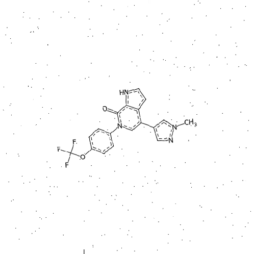 Cn1cc(-c2cn(-c3ccc(OC(F)(F)F)cc3)c(=O)c3[nH]ccc23)cn1